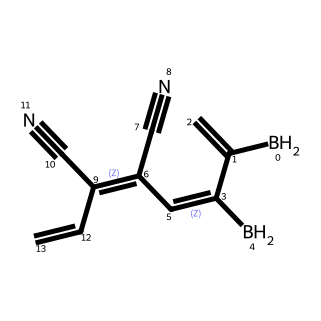 BC(=C)/C(B)=C\C(C#N)=C(\C#N)C=C